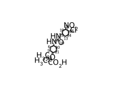 CC(C)(Oc1ccc(NC(=O)Nc2ccc(Cl)c([N+](=O)[O-])c2)cc1)C(=O)O